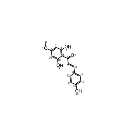 COc1cc(O)c(C(=O)/C=C/c2ccc(O)cc2)c(O)c1